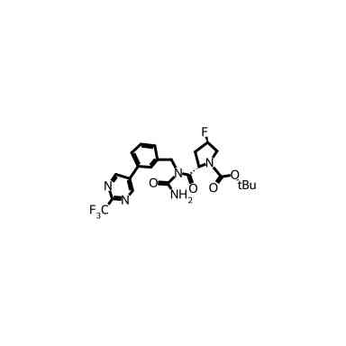 CC(C)(C)OC(=O)N1C[C@H](F)C[C@H]1C(=O)N(Cc1cccc(-c2cnc(C(F)(F)F)nc2)c1)C(N)=O